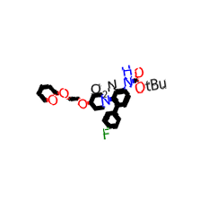 CC(C)(C)OC(=O)Nc1ccc(-c2ccc(F)cc2)c(N2CCC(OCCOC3CCCCO3)CC2)c1[N+](=O)[O-]